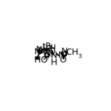 Cc1cc(=O)n(CCNC(=O)[C@@H]2C[C@@H](O)CN2C(=O)[C@@H](n2cc(C3CC3)nn2)C(C)(C)C)cn1